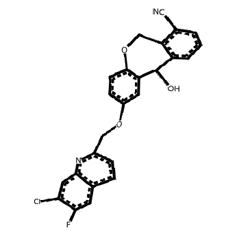 N#Cc1cccc2c1COc1ccc(OCc3ccc4cc(F)c(Cl)cc4n3)cc1C2O